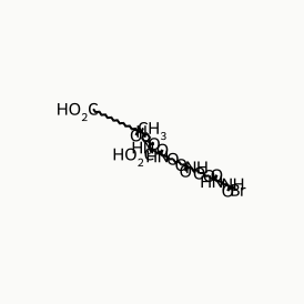 CN(C(=O)CCCCCCCCCCCCCCC(=O)O)C1CCC(C(=O)N[C@@H](CCC(=O)NCCOCCOCC(=O)NCCOCCOCC(=O)NCCNC(=O)CBr)C(=O)O)CC1